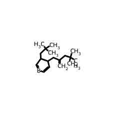 C=C(CC1C=CB=CC1CC(C)(C)C)CC(C)(C)C